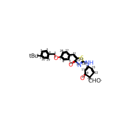 CC(C)(C)c1ccc(COc2ccc(C=C3SC(NC4=CC(=O)C([C]=O)C=C4)=NC3=O)cc2)cc1